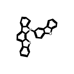 c1ccc2c(c1)oc1ccc(-n3c4ccccc4c4ccc5c6ccccc6sc5c43)cc12